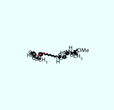 COCc1cc(C(=O)Nc2cc([C@H]3CC[C@@H](OC(=O)NCCCCCCCCCc4ccc5c(c4)n(C)c(=O)n5C4CCC(=O)NC4=O)C3)[nH]n2)n(C)n1